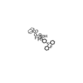 Fc1ccccc1[S+](c1ccccc1)c1ccccc1.O=C(OCC(F)(F)S(=O)(=O)O)C12CC3CC(CC(C3)C1)C2